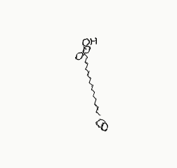 C1CCOC1.CCCCCCCCCCCCCCCCCC(=O)OCO